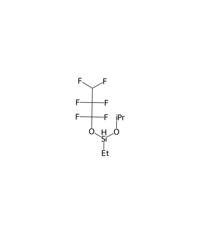 CC[SiH](OC(C)C)OC(F)(F)C(F)(F)C(F)F